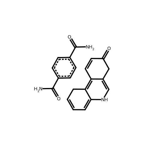 NC(=O)c1ccc(C(N)=O)cc1.O=C1C=CC2=C3CC=CC=C3NC=C2C1